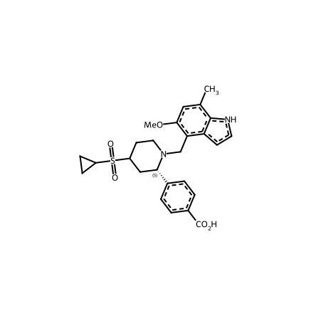 COc1cc(C)c2[nH]ccc2c1CN1CCC(S(=O)(=O)C2CC2)C[C@H]1c1ccc(C(=O)O)cc1